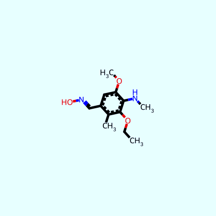 CCOc1c(C)c(C=NO)cc(OC)c1NC